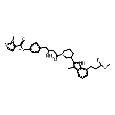 COC(F)CCc1cccc2c(C)c(C3CCCN(C(=O)CC(N)Cc4ccc(NC(=O)c5ccnn5C)cc4)C3)[nH]c12